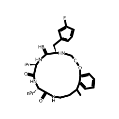 B=C1N[C@H](C(C)C)C(=O)N[C@@H](CCC)C(=O)NCCC(C)c2ccccc2OCCN[C@@H]1Cc1cccc(F)c1